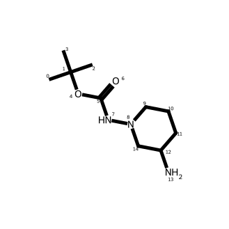 CC(C)(C)OC(=O)NN1CCCC(N)C1